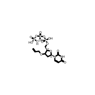 C=CCOC1C[C@H](n2ccc(=O)[nH]c2=O)O[C@@H]1COP(=O)(O)OP(=O)(O)OP(=O)(O)O